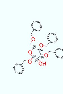 O[C@H]1[C@@H](OCc2ccccc2)O[C@H](COCc2ccccc2)[C@H](OCc2ccccc2)[C@@H]1OCc1ccccc1